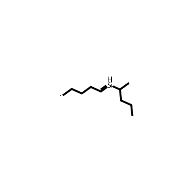 [CH2]CCCC=[SiH]C(C)CCC